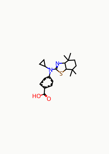 CC1(C)CCC(C)(C)C2SC(N(c3ccc(C(=O)O)cc3)C3CC3)=NC21